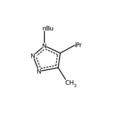 CCCCn1nnc(C)c1C(C)C